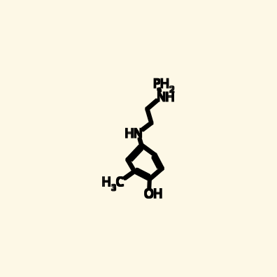 Cc1cc(NCCNP)ccc1O